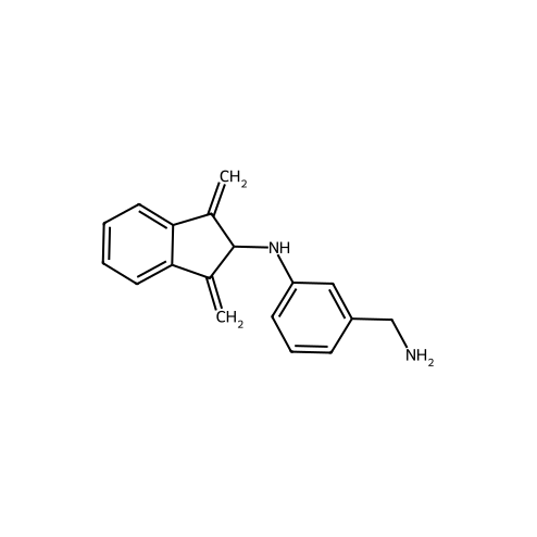 C=C1c2ccccc2C(=C)C1Nc1cccc(CN)c1